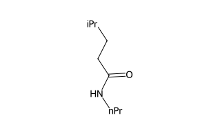 [CH2]CCNC(=O)CCC(C)C